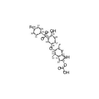 Cc1cc2[nH]c(OC(=O)O)cc2c(C)c1Oc1ccc(O)c(S(=O)(=O)c2ccc(F)cc2)c1